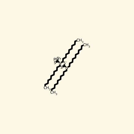 CCCCCCCCCCCN(CCCCCCCCCCC)C(=S)[S-].CCCCCCCCCCCN(CCCCCCCCCCC)C(=S)[S-].[Pb+2]